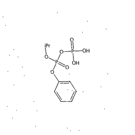 CC(C)OP(=O)(Oc1ccccc1)OP(=O)(O)O